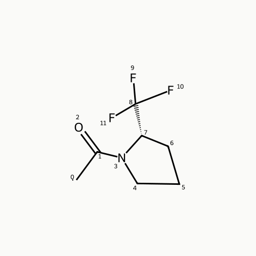 [CH2]C(=O)N1CCC[C@H]1C(F)(F)F